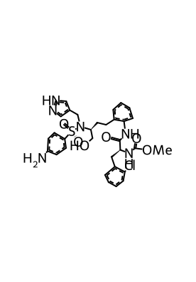 COC(=O)N[C@@H](Cc1ccccc1Cl)C(=O)Nc1ccccc1CC[C@@H](CO)N(Cc1cn[nH]c1)S(=O)(=O)c1ccc(N)cc1